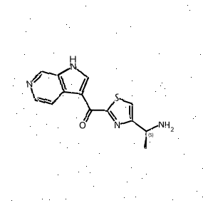 C[C@H](N)c1csc(C(=O)c2c[nH]c3cnccc23)n1